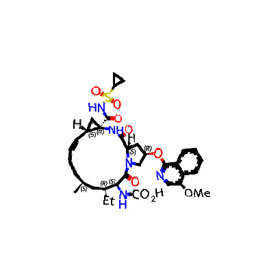 CC[C@@H]1C[C@@H](C)CCC=C[C@@H]2C[C@@]2(C(=O)NS(=O)(=O)C2CC2)NC(=O)[C@@H]2C[C@@H](Oc3ncc(OC)c4ccccc34)CN2C(=O)[C@H]1NC(=O)O